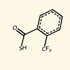 O=C(S)c1ccccc1C(F)(F)F